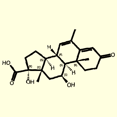 CC1=C[C@@H]2[C@H]([C@@H](O)C[C@@]3(C)[C@H]2CC[C@]3(O)C(=O)O)[C@@]2(C)CCC(=O)C=C12